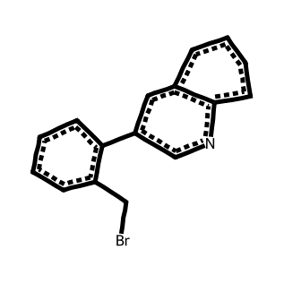 BrCc1ccccc1-c1cnc2ccccc2c1